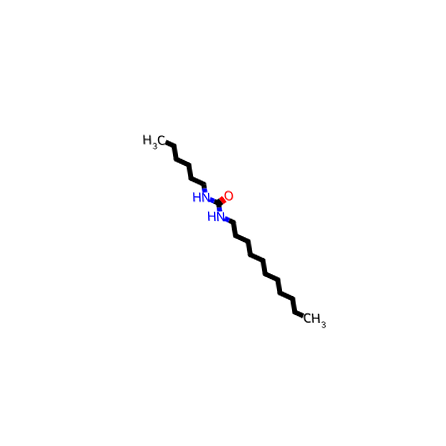 CCCCCCCCCCCNC(=O)NCCCCCC